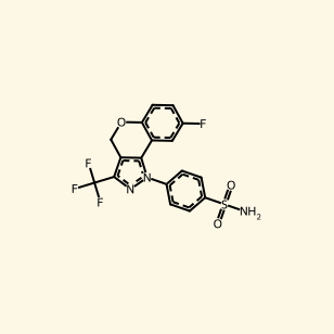 NS(=O)(=O)c1ccc(-n2nc(C(F)(F)F)c3c2-c2cc(F)ccc2OC3)cc1